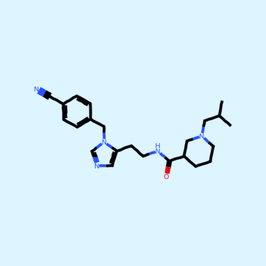 CC(C)CN1CCCC(C(=O)NCCc2cncn2Cc2ccc(C#N)cc2)C1